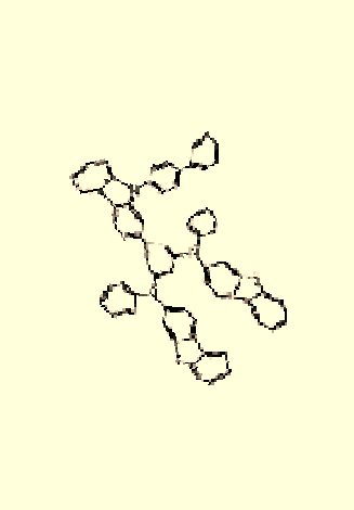 c1ccc(-c2ccc(-n3c4ccccc4c4ccc(-c5cc(N(c6ccccc6)c6ccc7c(c6)sc6ccccc67)cc(N(c6ccccc6)c6ccc7c(c6)sc6ccccc67)c5)cc43)cc2)cc1